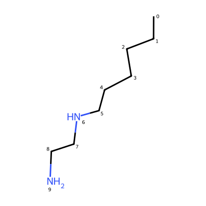 CCCCCCNCCN